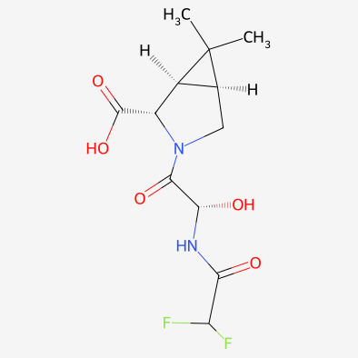 CC1(C)[C@@H]2[C@@H](C(=O)O)N(C(=O)[C@H](O)NC(=O)C(F)F)C[C@@H]21